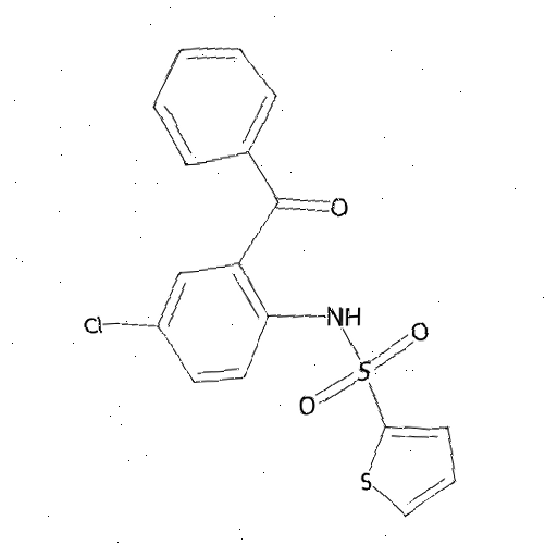 O=C(c1ccccc1)c1cc(Cl)ccc1NS(=O)(=O)c1cccs1